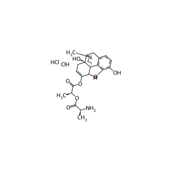 C[C@H](N)C(=O)O[C@@H](C)C(=O)OC1=CC[C@]2(O)C3Cc4ccc(O)c5c4[C@@]2(CCN3C)[C@H]1O5.Cl.Cl